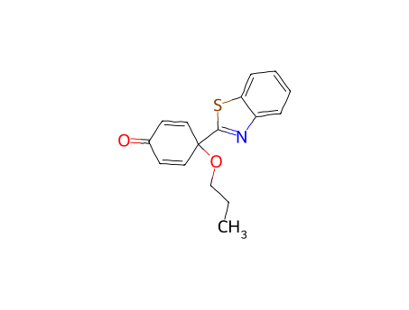 CCCOC1(c2nc3ccccc3s2)C=CC(=O)C=C1